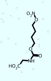 O=C(O)CNC(=O)OCCCCO[N+](=O)[O-]